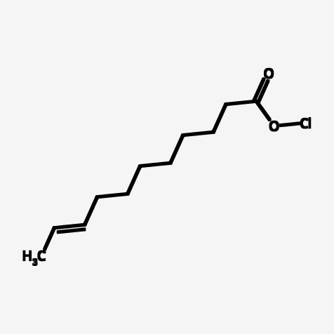 CC=CCCCCCCCC(=O)OCl